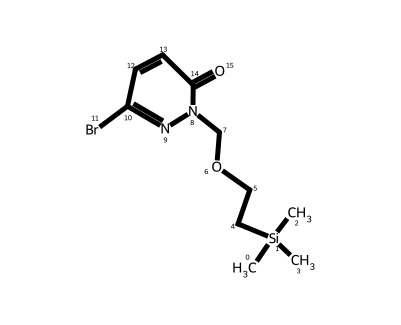 C[Si](C)(C)CCOCn1nc(Br)ccc1=O